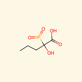 CCCC(O)(C(=O)O)P(=O)=O